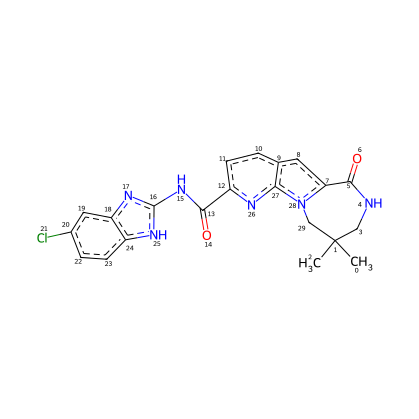 CC1(C)CNC(=O)c2cc3ccc(C(=O)Nc4nc5cc(Cl)ccc5[nH]4)nc3n2C1